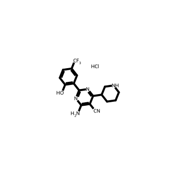 Cl.N#Cc1c(N)nc(-c2cc(C(F)(F)F)ccc2O)nc1C1CCCNC1